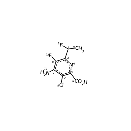 CC(F)c1nc(C(=O)O)c(Cl)c(N)c1F